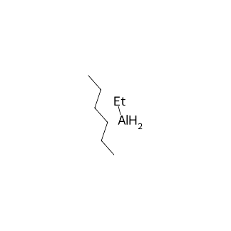 CCCCCC.C[CH2][AlH2]